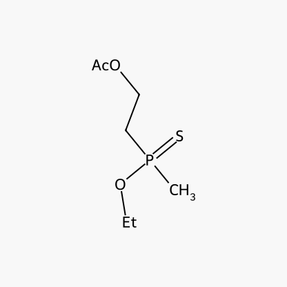 CCOP(C)(=S)CCOC(C)=O